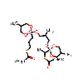 CCCCCCCC(=O)SCCC[Si]1(OCC(C)CO[Si]2(C(CC)SC(=O)CCCCCCC)OCC(C)CO2)OCC(C)CO1